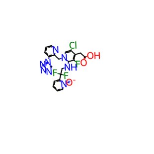 O=C(O)CC1=C(F)C(NCC(F)(F)c2cccc[n+]2[O-])N(Cc2ncccc2-n2cnnn2)C=C1Cl